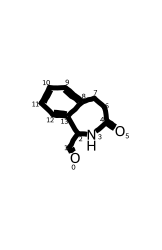 O=[C]C1NC(=O)CCc2ccccc21